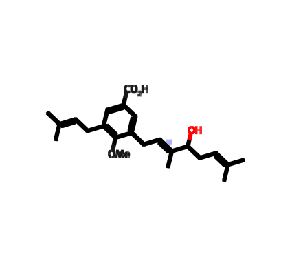 COc1c(CC=C(C)C)cc(C(=O)O)cc1C/C=C(\C)C(O)CC=C(C)C